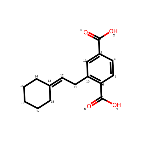 O=C(O)c1ccc(C(=O)O)c(CC=C2CCCCC2)c1